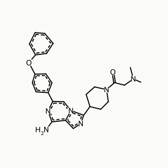 CN(C)CC(=O)N1CCC(c2ncc3c(N)nc(-c4ccc(Oc5ccccc5)cc4)cn23)CC1